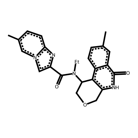 CCN(C(=O)c1cn2cc(C)ccc2n1)C1COCc2[nH]c(=O)c3cc(C)ccc3c21